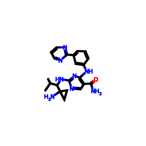 CC(C)C(Nc1ncc(C(N)=O)c(Nc2cccc(-c3ncccn3)c2)n1)C1(N)CC1